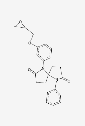 O=C1CCC2(CCC(=O)N2c2cccc(OCC3CO3)c2)N1c1ccccc1